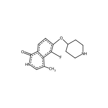 Cc1c[nH]c(=O)c2ccc(OC3CCNCC3)c(F)c12